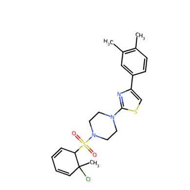 Cc1ccc(-c2csc(N3CCN(S(=O)(=O)C4C=CC=CC4(C)Cl)CC3)n2)cc1C